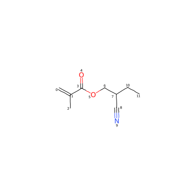 C=C(C)C(=O)OCC(C#N)CC